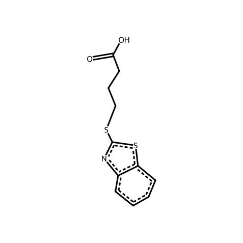 O=C(O)CCCSc1nc2ccccc2s1